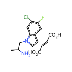 C[C@H](N)Cn1ccc2cc(F)c(Cl)cc21.O=C(O)C=CC(=O)O